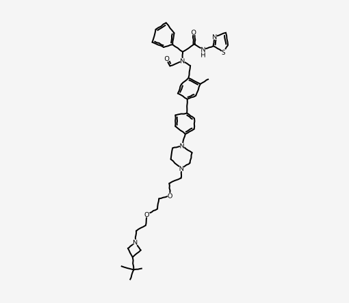 Cc1cc(-c2ccc(N3CCN(CCOCCOCCN4CC(C(C)(C)C)C4)CC3)cc2)ccc1CN(C=O)C(C(=O)Nc1nccs1)c1ccccc1